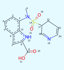 CN(c1cccc2cc(C(=O)O)[nH]c12)S(=O)(=O)C1C=NC=CC1